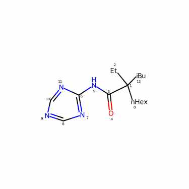 CCCCCCC(CC)(C(=O)Nc1ncncn1)C(C)CC